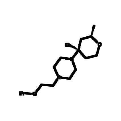 CC[C@@]1(N2CCN(CCOC(C)C)CC2)CCO[C@@H](C)C1